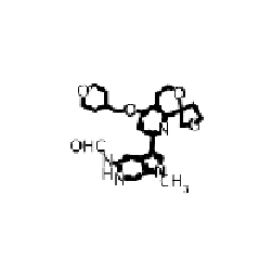 Cn1cc(-c2cc(OCC3CCOCC3)c3c(n2)C2(CCOC2)OCC3)c2cc(NC=O)ncc21